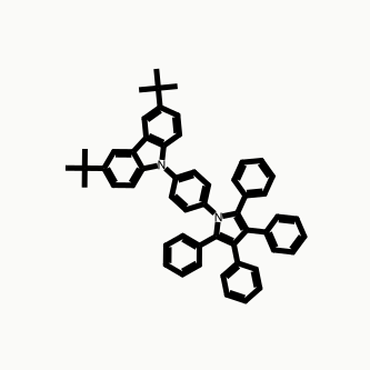 CC(C)(C)c1ccc2c(c1)c1cc(C(C)(C)C)ccc1n2-c1ccc(-n2c(-c3ccccc3)c(-c3ccccc3)c(-c3ccccc3)c2-c2ccccc2)cc1